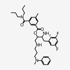 CCCN(CCC)C(=O)c1cc(C)cc(C(=O)OC(CNCCCN(C)c2ccccc2)C(N)Cc2cc(F)cc(F)c2)c1